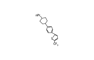 CCCC1CCC(c2ccc(-c3ccc(C(F)(F)F)s3)cc2)CC1